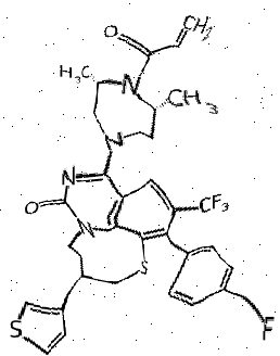 C=CC(=O)N1[C@H](C)CN(c2nc(=O)n3c4c(c(-c5ccc(F)cc5)c(C(F)(F)F)cc24)SC[C@@H](c2ccsc2)C3)C[C@@H]1C